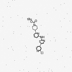 CC(C)(C)OC(=O)N1CCC(c2cccc(Nc3ncc(-c4ccnc(Cl)c4)s3)n2)CC1